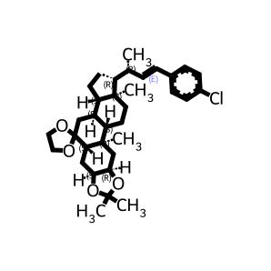 C[C@H](/C=C/c1ccc(Cl)cc1)[C@H]1CC[C@H]2[C@@H]3CC4(OCCO4)[C@H]4C[C@@H]5OC(C)(C)O[C@@H]5C[C@]4(C)[C@H]3CC[C@]12C